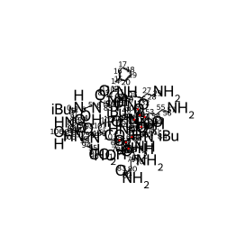 CCC(C)[C@H](NC(=O)CNC(=O)[C@@H](NC(=O)[C@H](Cc1ccccc1)NC(=O)[C@H](CCCCN)NC(=O)[C@H](CO)NC(=O)[C@H](CC(N)=O)NC(=O)[C@H](C)NC(=O)[C@H](CCCCN)NC(=O)[C@@H](NC(=O)[C@H](Cc1ccc(O)cc1)NC(=O)[C@@H](N)CCC(N)=O)C(C)CC)C(C)CC)C(=O)N[C@H](C(=O)N[C@@H](CCC(=O)O)C(=O)N[C@@H](CC(C)C)C(=O)O)C(C)O